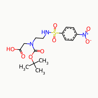 CC(C)(C)OC(=O)N(CCNS(=O)(=O)c1ccc([N+](=O)[O-])cc1)CC(=O)O